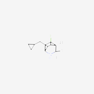 CC(=O)[C@H]1NC2CC[C@@H]1C(F)C2CC1CC1